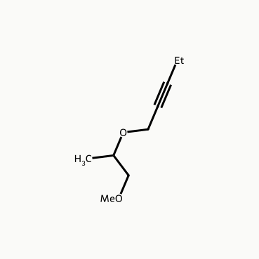 CCC#CCOC(C)COC